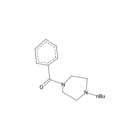 [CH2]CCCN1CCN(C(=O)c2ccccc2)CC1